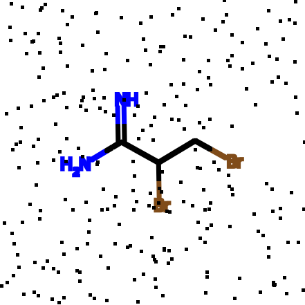 N=C(N)C(Br)CBr